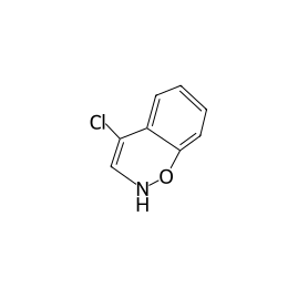 ClC1=CNOc2ccccc21